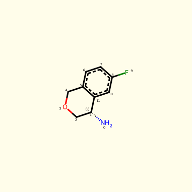 N[C@@H]1COCc2ccc(F)cc21